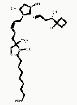 CCCCCCCCCCCCCCCCCCN(C)C(CC=O)(CC/C=C\C[C@@H]1[C@@H](/C=C/C[C@H](O)C2(CC)CCC2)[C@H](O)C[C@H]1Cl)C(=O)O